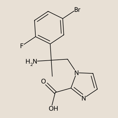 CC(N)(Cn1ccnc1C(=O)O)c1cc(Br)ccc1F